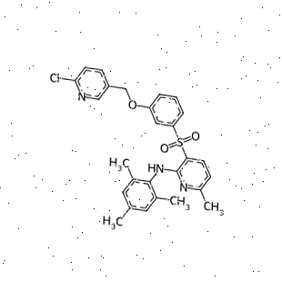 Cc1cc(C)c(Nc2nc(C)ccc2S(=O)(=O)c2cccc(OCc3ccc(Cl)nc3)c2)c(C)c1